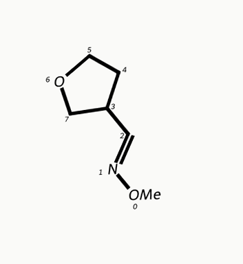 CO/N=C/C1CCOC1